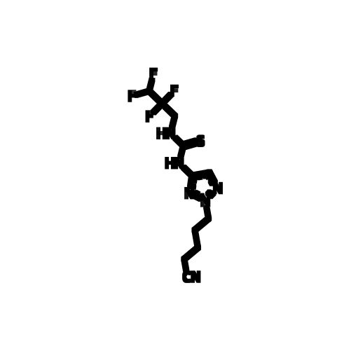 N#CCCCCn1ncc(NC(=S)NCC(F)(F)C(F)F)n1